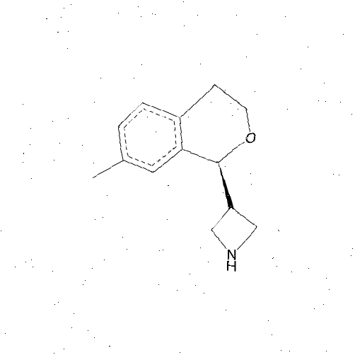 Cc1ccc2c(c1)[C@H](C1CNC1)OCC2